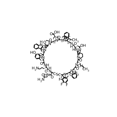 CCCC[C@H]1C(=O)N2CCCC[C@@H]2C(=O)N[C@@H](CC(=O)O)C(=O)N[C@@H](C(C)C)C(=O)N(C)[C@@H](Cc2ccccc2)C(=O)N[C@@H](CCC(=O)O)C(=O)N2CCOC[C@@H]2C(=O)N[C@@H](Cc2c[nH]c3ccccc23)C(=O)N[C@@H](Cc2ccc(O)cc2)C(=O)N[C@@H](CCCN)C(=O)N[C@H](C(=O)NCC(N)=O)CSCC(=O)N[C@@H](Cc2cc(F)c(F)c(F)c2)C(=O)N(C)[C@@H](Cc2ccccc2)C(=O)N1C